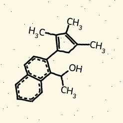 CC1=C(C)C(C)=C(c2ccc3ccccc3c2C(C)O)C1